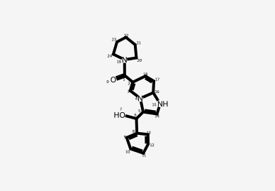 O=C(C1=CN2C(C(O)c3ccccc3)=CNC2C=C1)N1CCCCC1